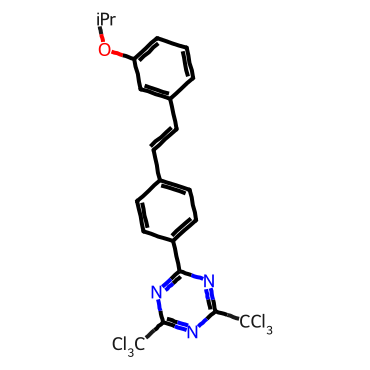 CC(C)Oc1cccc(C=Cc2ccc(-c3nc(C(Cl)(Cl)Cl)nc(C(Cl)(Cl)Cl)n3)cc2)c1